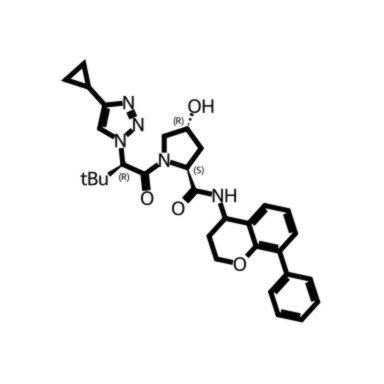 CC(C)(C)[C@H](C(=O)N1C[C@H](O)C[C@H]1C(=O)NC1CCOc2c(-c3ccccc3)cccc21)n1cc(C2CC2)nn1